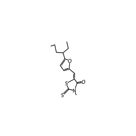 CCCC(CC)c1ccc(/C=C2\SC(=S)N(C)C2=O)o1